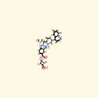 C[C@@H](c1nc2ccc(C(=O)OC3CC(O)C3)cc2[nH]1)[C@H]1CC[C@@H](c2ccnc3ccc(F)cc32)CC1